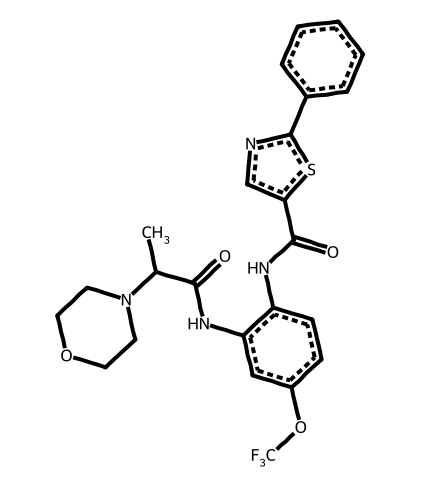 CC(C(=O)Nc1cc(OC(F)(F)F)ccc1NC(=O)c1cnc(-c2ccccc2)s1)N1CCOCC1